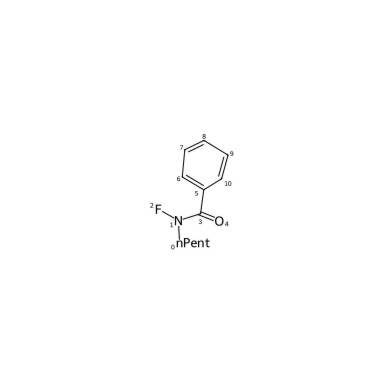 CCCCCN(F)C(=O)c1ccccc1